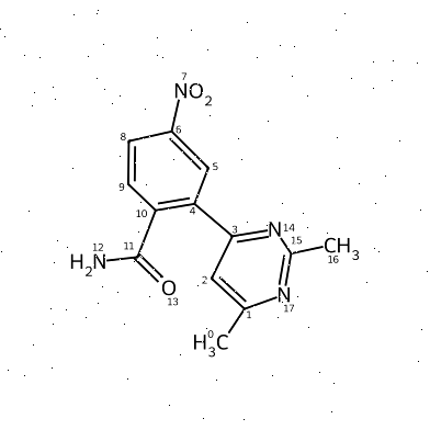 Cc1cc(-c2cc([N+](=O)[O-])ccc2C(N)=O)nc(C)n1